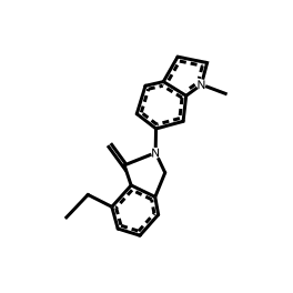 C=C1c2c(CC)cccc2CN1c1ccc2ccn(C)c2c1